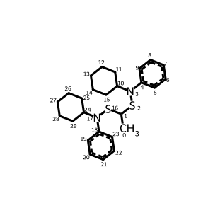 CC(SN(c1ccccc1)C1CCCCC1)SN(c1ccccc1)C1CCCCC1